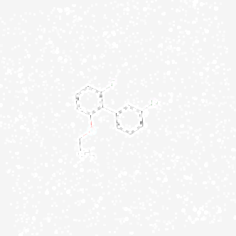 CCOc1cccc(F)c1-c1cc[c]c(Br)c1